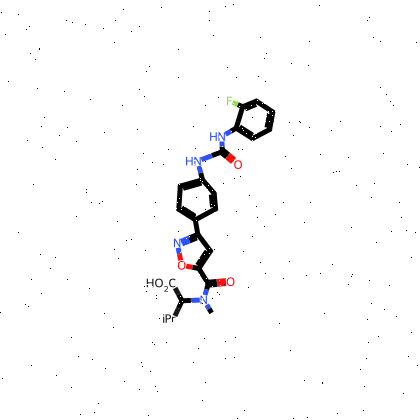 CC(C)C(C(=O)O)N(C)C(=O)c1cc(-c2ccc(NC(=O)Nc3ccccc3F)cc2)no1